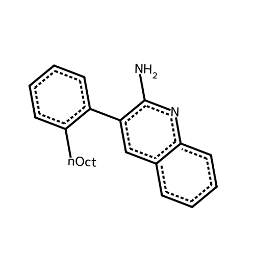 CCCCCCCCc1ccccc1-c1cc2ccccc2nc1N